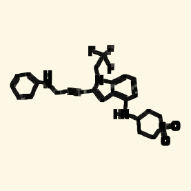 O=S1(=O)CCC(Nc2cccc3c2cc(C#CCNc2ccccc2)n3CC(F)(F)F)CC1